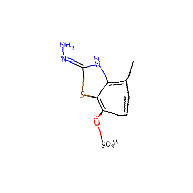 Cc1ccc(OS(=O)(=O)O)c2sc(=NN)[nH]c12